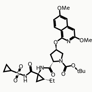 CC[C@@H]1C[C@]1(NC(=O)[C@@H]1C[C@@H](Oc2nc(OC)cc3cc(OC)ccc23)CN1C(=O)OC(C)(C)C)C(=O)NS(=O)(=O)C1CC1